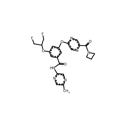 Cc1cnc(NC(=O)c2cc(Oc3cnc(C(=O)N4CCC4)cn3)cc(OC(CF)CF)c2)cn1